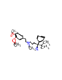 COc1ccc(CCN(C)CCCC(C#N)(c2ccccc2)C(C)C)cc1OC